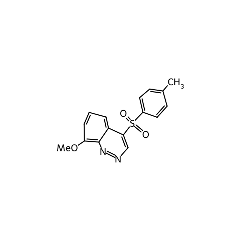 COc1cccc2c(S(=O)(=O)c3ccc(C)cc3)cnnc12